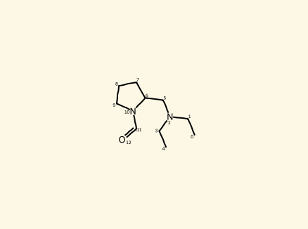 CCN(CC)CC1CCCN1[C]=O